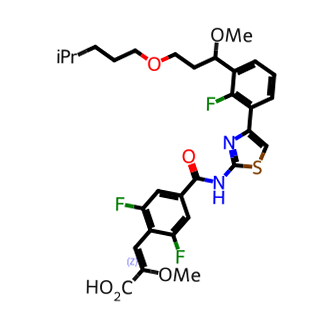 CO/C(=C\c1c(F)cc(C(=O)Nc2nc(-c3cccc(C(CCOCCCC(C)C)OC)c3F)cs2)cc1F)C(=O)O